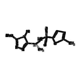 CCn1c(OC)nnc1[C@@H](C)NS(=O)(=O)c1ccc(C)o1